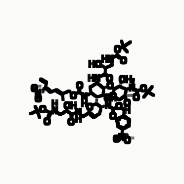 C=C/C(=C\C=C(/C)COC(=O)N[C@H]1C[C@@H](NC(=O)[C@@H](O)CNC(=O)OC(C)(C)C)[C@H](O[C@H]2OC[C@](C)(O)[C@H](N(C)C(=O)OC(C)(C)C)[C@H]2O)[C@@H](O)[C@@H]1C1OC(CNC(=O)C(O)CNC(=O)OC(C)(C)C)=CC[C@H]1NC(=O)OCc1ccc([N+](=O)[O-])cc1)[N+](=O)[O-]